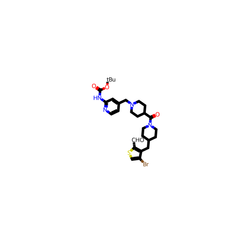 CC(C)(C)OC(=O)Nc1cc(CN2CCC(C(=O)N3CCC(Cc4c(Br)csc4C=O)CC3)CC2)ccn1